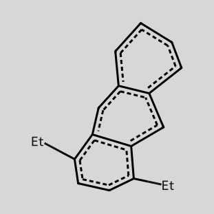 CCc1ccc(CC)c2cc3ccccc3cc12